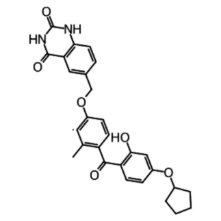 Cc1[c]c(OCc2ccc3[nH]c(=O)[nH]c(=O)c3c2)ccc1C(=O)c1ccc(OC2CCCC2)cc1O